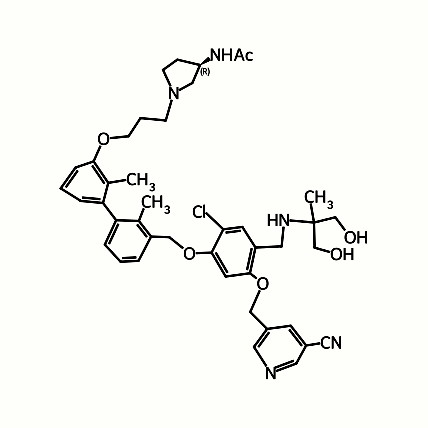 CC(=O)N[C@@H]1CCN(CCCOc2cccc(-c3cccc(COc4cc(OCc5cncc(C#N)c5)c(CNC(C)(CO)CO)cc4Cl)c3C)c2C)C1